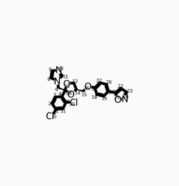 Clc1ccc([C@]2(Cn3ccnc3)OC[C@@H](COc3ccc(-c4ccno4)cc3)O2)c(Cl)c1